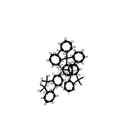 CC1(C)c2ccccc2-c2c(N(c3ccc4c(c3)C(C)(C)C(C)(C)c3ccccc3-4)c3cccc4c3C3(c5ccccc5-c5ccccc53)c3ccccc3-4)cccc21